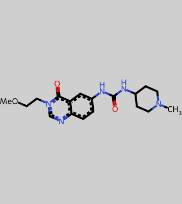 COCCn1cnc2ccc(NC(=O)NC3CCN(C)CC3)cc2c1=O